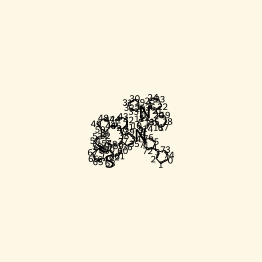 c1ccc(-c2ccc(N(c3ccc4c(c3)-c3ccccc3-c3ccccc3N4c3ccccc3)c3ccc4c(c3)c3ccccc3c3ccccc3c3ccccc3c3c4ccc4sc5ccccc5c43)cc2)cc1